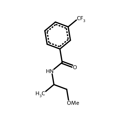 COCC(C)NC(=O)c1cccc(C(F)(F)F)c1